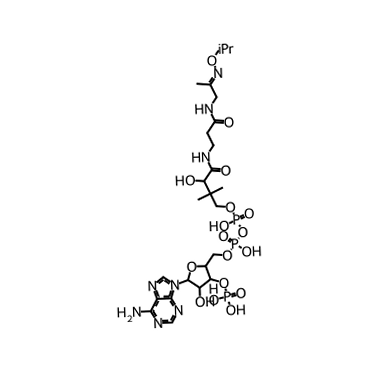 C/C(CNC(=O)CCNC(=O)C(O)C(C)(C)COP(=O)(O)OP(=O)(O)OCC1OC(n2cnc3c(N)ncnc32)C(O)C1OP(=O)(O)O)=N\OC(C)C